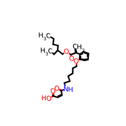 C=C(C(=O)OCC(CC)CCCC)c1ccccc1OCCCCCCNC(=O)/C=C\C(=O)O